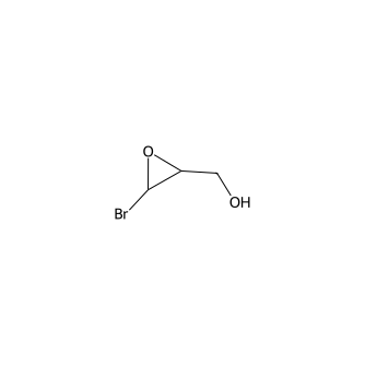 OCC1OC1Br